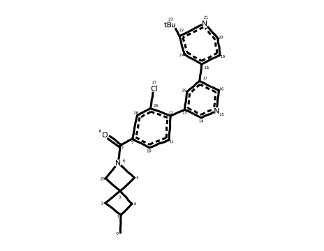 CC1CC2(C1)CN(C(=O)c1ccc(-c3cncc(-c4ccnc(C(C)(C)C)c4)c3)c(Cl)c1)C2